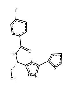 O=C(N[C@@H](CO)c1nc(-c2cccs2)no1)c1ccc(F)cc1